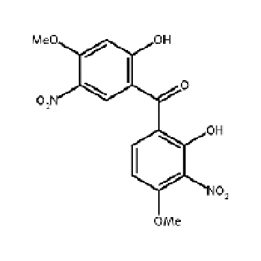 COc1cc(O)c(C(=O)c2ccc(OC)c([N+](=O)[O-])c2O)cc1[N+](=O)[O-]